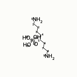 NCCCCCCCCN.O=P(O)(O)O